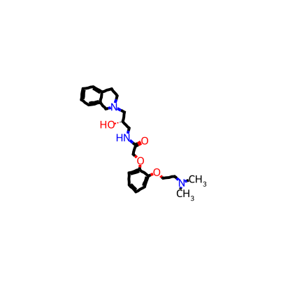 CN(C)CCOc1ccccc1OCC(=O)NC[C@H](O)CN1CCc2ccccc2C1